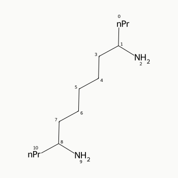 CCCC(N)CCCCCC(N)CCC